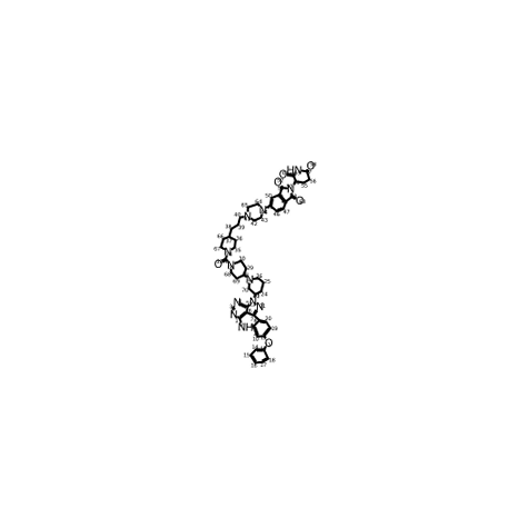 Nc1ncnc2c1c(-c1ccc(Oc3ccccc3)cc1)nn2[C@@H]1CCCN(C2CCN(C(=O)N3CCC(CCCN4CCN(c5ccc6c(c5)C(=O)N(C5CCC(=O)NC5=O)C6=O)CC4)CC3)CC2)C1